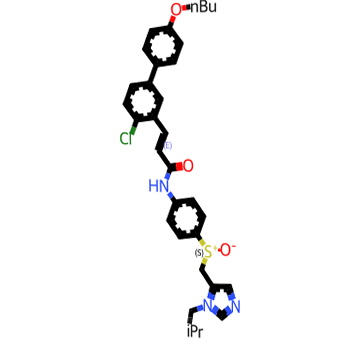 CCCCOc1ccc(-c2ccc(Cl)c(/C=C/C(=O)Nc3ccc([S@+]([O-])Cc4cncn4CC(C)C)cc3)c2)cc1